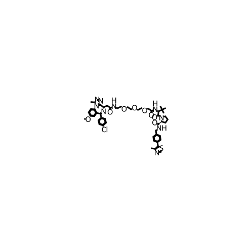 COc1ccc2c(c1)C(c1ccc(Cl)cc1)=NC(CC(=O)NCCOCCOCCOCC(=O)NC(C(=O)N1CCC[C@H]1C(=O)NCc1ccc(-c3scnc3C)cc1)C(C)(C)C)c1nnc(C)n1-2